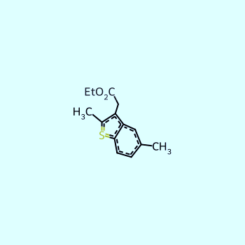 CCOC(=O)Cc1c(C)sc2ccc(C)cc12